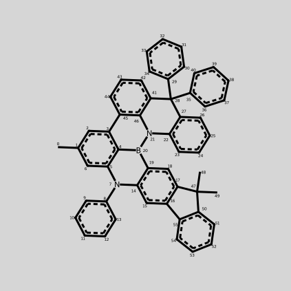 Cc1cc2c3c(c1)N(c1ccccc1)c1cc4c(cc1B3N1c3ccccc3C(c3ccccc3)(c3ccccc3)c3cccc-2c31)C(C)(C)c1ccccc1-4